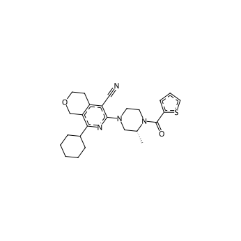 C[C@@H]1CN(c2nc(C3CCCCC3)c3c(c2C#N)CCOC3)CCN1C(=O)c1cccs1